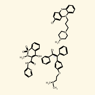 CC/C(=C(\c1ccccc1)c1ccc(OCCN(C)C)cc1)c1ccccc1.CN1C(C(=O)Nc2ccccn2)=C(O)c2ccccc2S1(=O)=O.CN1CCN(CCCN2c3ccccc3Sc3ccc(Cl)cc32)CC1